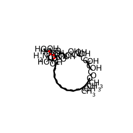 C[C@@H]1[C@H](O)[C@@H](C)/C=C/C=C/C=C/C=C/C=C/C=C/C=C/[C@H](O[C@@H]2O[C@H](C)[C@@H](O)[C@H](N)[C@@H]2O)C[C@@H]2O[C@](O)(C[C@@H](O)C[C@@H](O)[C@H](O)CC[C@@H](O)C[C@@H](O)CC(=O)O[C@H]1C)C[C@H](O)[C@H]2C(=O)NC[C@H](O)CO